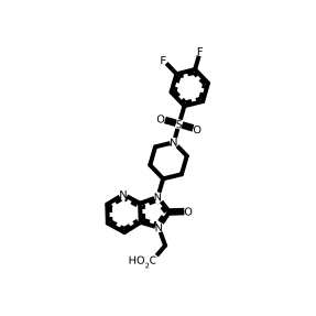 O=C(O)Cn1c(=O)n(C2CCN(S(=O)(=O)c3ccc(F)c(F)c3)CC2)c2ncccc21